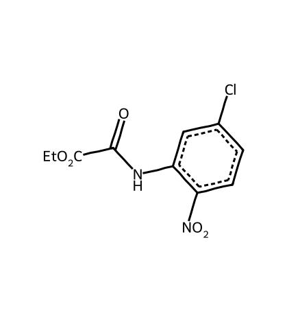 CCOC(=O)C(=O)Nc1cc(Cl)ccc1[N+](=O)[O-]